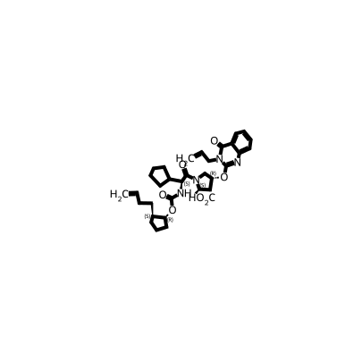 C=CCC[C@@H]1CCC[C@H]1OC(=O)N[C@H](C(=O)N1C[C@H](Oc2nc3ccccc3c(=O)n2CC=C)C[C@H]1C(=O)O)C1CCCC1